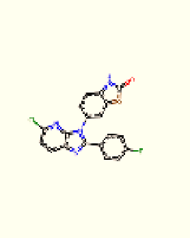 O=c1[nH]c2ccc(-n3c(-c4ccc(F)cc4)nc4ccc(Cl)nc43)cc2s1